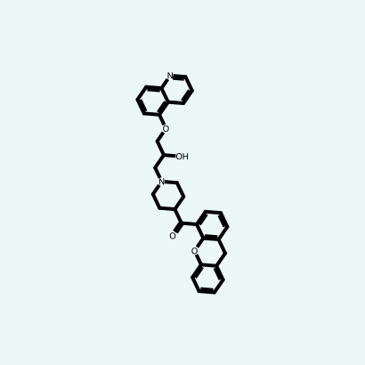 O=C(c1cccc2c1Oc1ccccc1C2)C1CCN(CC(O)COc2cccc3ncccc23)CC1